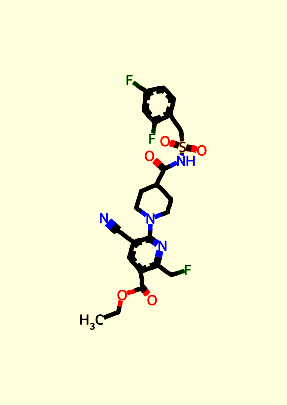 CCOC(=O)c1cc(C#N)c(N2CCC(C(=O)NS(=O)(=O)Cc3ccc(F)cc3F)CC2)nc1CF